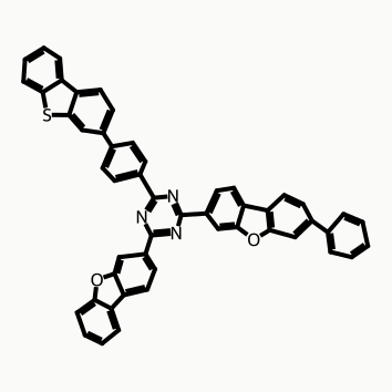 c1ccc(-c2ccc3c(c2)oc2cc(-c4nc(-c5ccc(-c6ccc7c(c6)sc6ccccc67)cc5)nc(-c5ccc6c(c5)oc5ccccc56)n4)ccc23)cc1